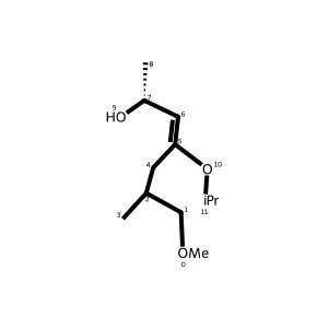 COCC(C)C/C(=C\[C@@H](C)O)OC(C)C